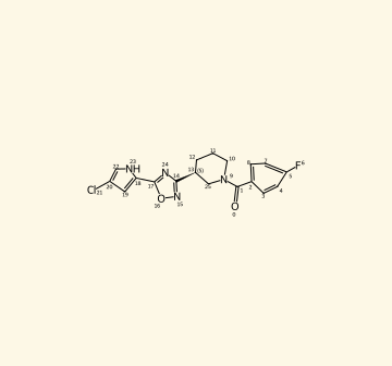 O=C(c1ccc(F)cc1)N1CCC[C@H](c2noc(-c3cc(Cl)c[nH]3)n2)C1